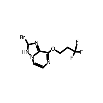 FC(F)(F)CCOC1=NC=CN2NC(Br)N=C12